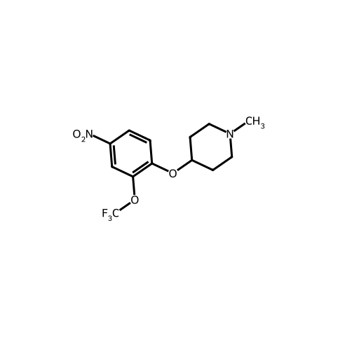 CN1CCC(Oc2ccc([N+](=O)[O-])cc2OC(F)(F)F)CC1